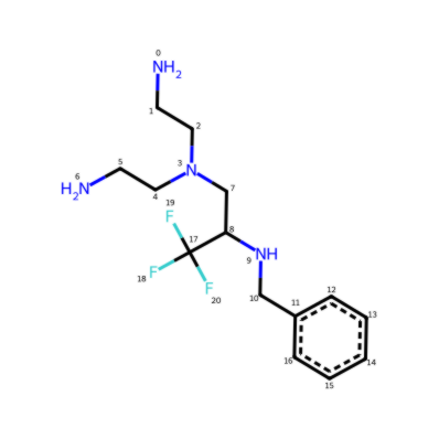 NCCN(CCN)CC(NCc1ccccc1)C(F)(F)F